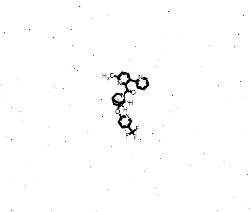 Cc1ccc(-c2ccccn2)c(C(=O)N2CC3CC[C@H]2[C@H](Oc2ccc(C(F)(F)F)cn2)C3)n1